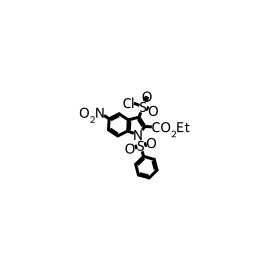 CCOC(=O)c1c(S(=O)(=O)Cl)c2cc([N+](=O)[O-])ccc2n1S(=O)(=O)c1ccccc1